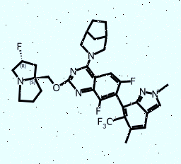 Cc1cc2cn(C)nc2c(-c2c(F)cc3c(N4CC5CCC(C5)C4)nc(OC[C@@]45CCCN4C[C@H](F)C5)nc3c2F)c1C(F)(F)F